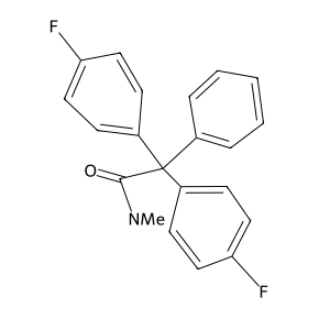 CNC(=O)C(c1ccccc1)(c1ccc(F)cc1)c1ccc(F)cc1